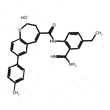 CCc1ccc(NC(=O)C2=Cc3cc(-c4ccc(C)cc4)ccc3OCC2)c(C(=N)N)c1.Cl